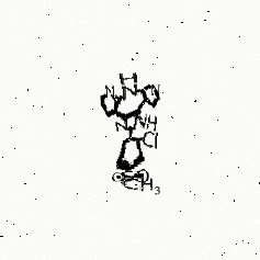 CS(=O)(=O)c1ccc(-c2nc3c([nH]2)-c2ccncc2Nc2ncccc2-3)c(Cl)c1